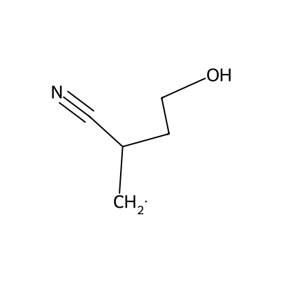 [CH2]C(C#N)CCO